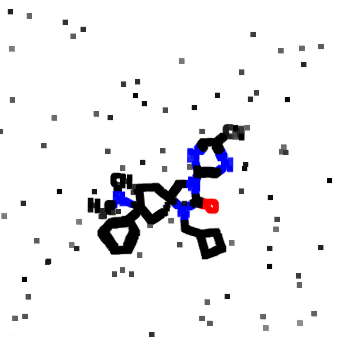 CN(C)[C@]1(c2ccccc2)CC[C@]2(CC1)CN(c1cnc(C#N)cn1)C(=O)N2CC1CCC1